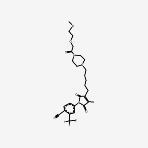 COCCOCC(=O)N1CCN(CCCCCC2=C(C)C(=O)N(c3ccc(C#N)c(C(F)(F)F)c3)C2=O)CC1